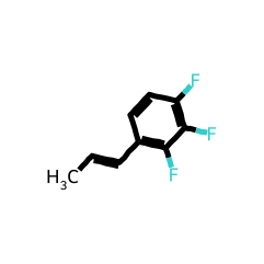 CC=Cc1ccc(F)c(F)c1F